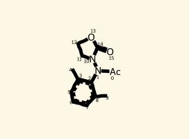 CC(=O)N(c1c(C)cccc1C)N1CCOC1=O